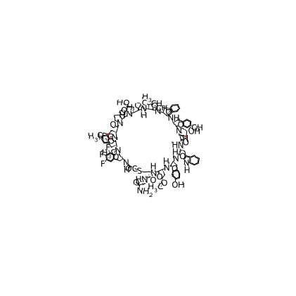 CCCC[C@H]1C(=O)N2CCC[C@@H]2C(=O)N[C@@H](CC(=O)O)C(=O)N[C@@H](C(C)C)C(=O)N(C)C(Cc2ccccc2)C(=O)N[C@@H](Cc2ccc(O)cc2)C(=O)N2C[C@H](O)C[C@@H]2C(=O)N[C@@H](Cc2c[nH]c3ccccc23)C(=O)N[C@@H](Cc2ccc(O)cc2)C(=O)N[C@@H](CCOC)C(=O)N[C@H](C(=O)NCC(N)=O)CSCC(=O)N[C@@H](Cc2cc(F)c(F)c(F)c2)C(=O)N(C)[C@@H](Cc2ccccc2)C(=O)N1C